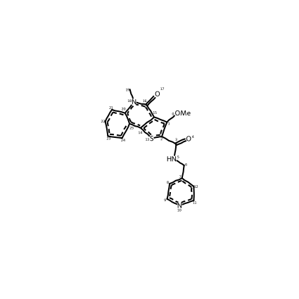 COc1c(C(=O)NCc2ccncc2)sc2c1c(=O)n(C)c1ccccc21